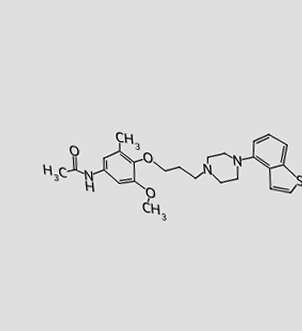 COc1cc(NC(C)=O)cc(C)c1OCCCN1CCN(c2cccc3sccc23)CC1